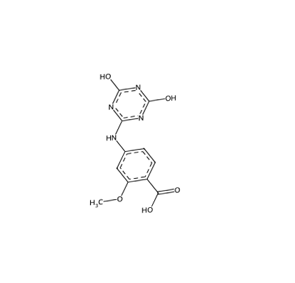 COc1cc(Nc2nc(O)nc(O)n2)ccc1C(=O)O